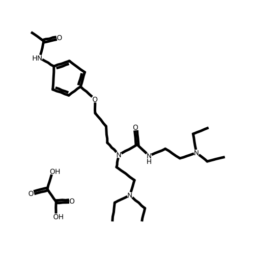 CCN(CC)CCNC(=O)N(CCCOc1ccc(NC(C)=O)cc1)CCN(CC)CC.O=C(O)C(=O)O